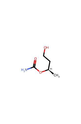 C[C@H](CCO)OC(N)=O